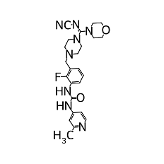 Cc1cc(NC(=O)Nc2cccc(CN3CCN(/C(=N\C#N)N4CCOCC4)CC3)c2F)ccn1